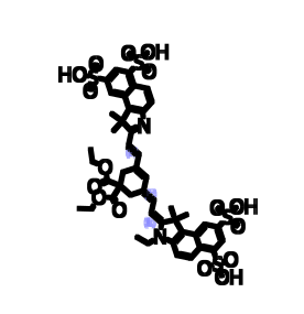 CCOC(=O)C1(C(=O)OCC)CC(/C=C/C2=Nc3ccc4c(S(=O)(=O)O)cc(S(=O)(=O)O)cc4c3C2(C)C)=CC(=C/C=C2/N(CC)c3ccc4c(S(=O)(=O)O)cc(S(=O)(=O)O)cc4c3C2(C)C)/C1